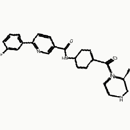 C[C@H]1CNCCN1C(=O)C1CCC(NC(=O)c2ccc(-c3cccc(F)c3)nc2)CC1